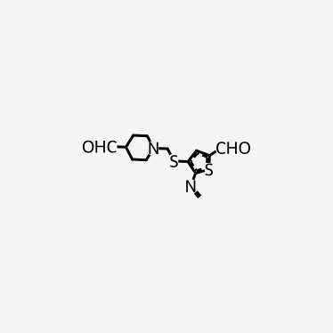 C=Nc1sc(C=O)cc1SCN1CCC(C=O)CC1